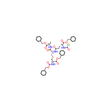 C[C@@H](NC(=O)[C@@H](CSC[C@H](NC(=O)OCc1ccccc1)C(=O)OCc1ccccc1)NC(=O)CC[C@@H](NC(=O)Cl)C(=O)OCc1ccccc1)C(=O)OCc1ccccc1